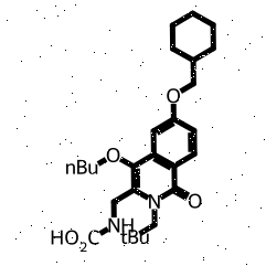 CCCCOc1c(CNC(=O)O)n(CC(C)(C)C)c(=O)c2ccc(OCC3CCCCC3)cc12